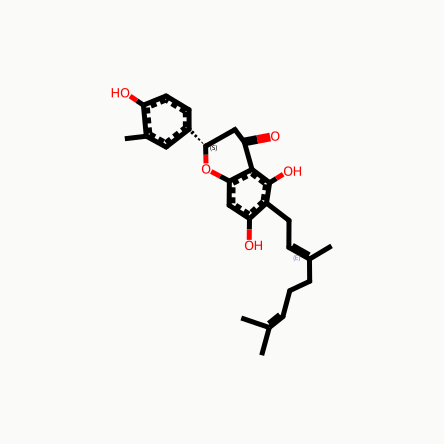 CC(C)=CCC/C(C)=C/Cc1c(O)cc2c(c1O)C(=O)C[C@@H](c1ccc(O)c(C)c1)O2